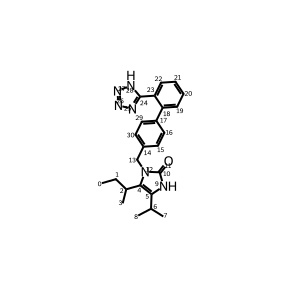 CCC(C)c1c(C(C)C)[nH]c(=O)n1Cc1ccc(-c2ccccc2-c2nnn[nH]2)cc1